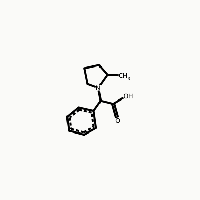 CC1CCCN1C(C(=O)O)c1ccccc1